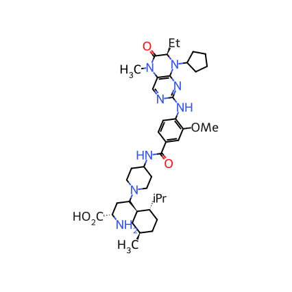 CC[C@@H]1C(=O)N(C)c2cnc(Nc3ccc(C(=O)NC4CCN(C(C[C@H](N)C(=O)O)[C@@H]5C[C@H](C)CC[C@H]5C(C)C)CC4)cc3OC)nc2N1C1CCCC1